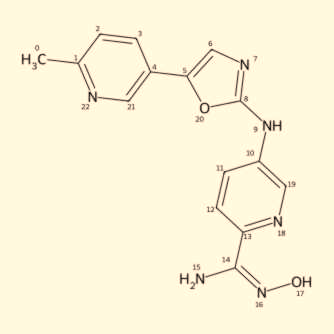 Cc1ccc(-c2cnc(Nc3ccc(/C(N)=N\O)nc3)o2)cn1